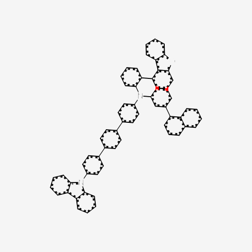 c1cc(-c2cccc3ccccc23)cc(N(c2ccc(-c3ccc(-c4ccc(-n5c6ccccc6c6ccccc65)cc4)cc3)cc2)c2ccccc2-c2cccc3oc4ccccc4c23)c1